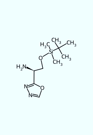 CC(C)(C)[Si](C)(C)OC[C@H](N)c1nnco1